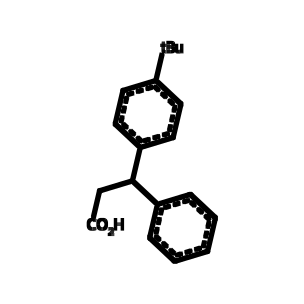 CC(C)(C)c1ccc(C(CC(=O)O)c2ccccc2)cc1